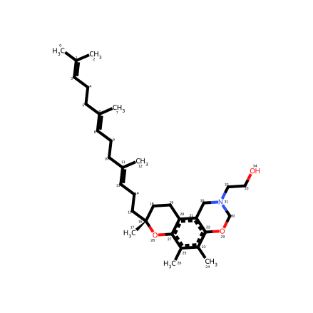 CC(C)=CCC/C(C)=C/CC/C(C)=C/CC[C@]1(C)CCc2c3c(c(C)c(C)c2O1)OCN(CCO)C3